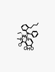 CCCCc1ccccc1[C@@H](c1ccccc1)N1[C@@H](CC)N(C)C(=O)c2c(O)c(=O)ccn21